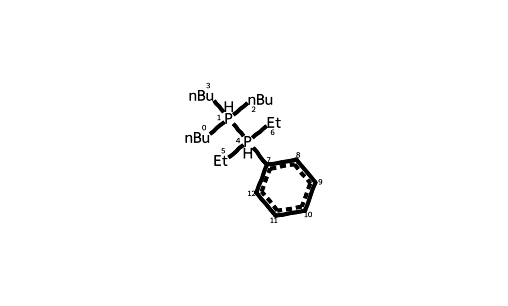 CCCC[PH](CCCC)(CCCC)[PH](CC)(CC)c1ccccc1